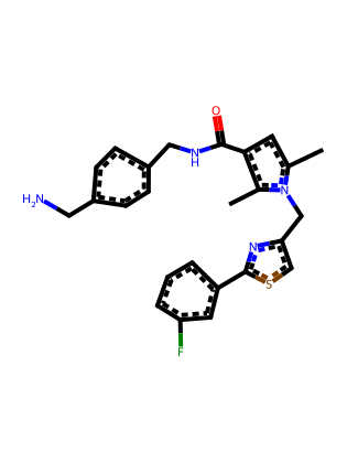 Cc1cc(C(=O)NCc2ccc(CN)cc2)c(C)n1Cc1csc(-c2cccc(F)c2)n1